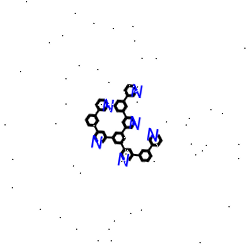 c1cncc(-c2cccc(-c3cncc(-c4cc(-c5cncc(-c6cccc(-c7cccnc7)c6)c5)cc(-c5cncc(-c6cccc(-c7cccnc7)c6)c5)c4)c3)c2)c1